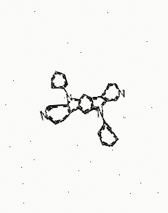 c1ccc(-n2c3cnccc3c3cc4c(cc32)c2ccncc2n4-c2ccccc2)cc1